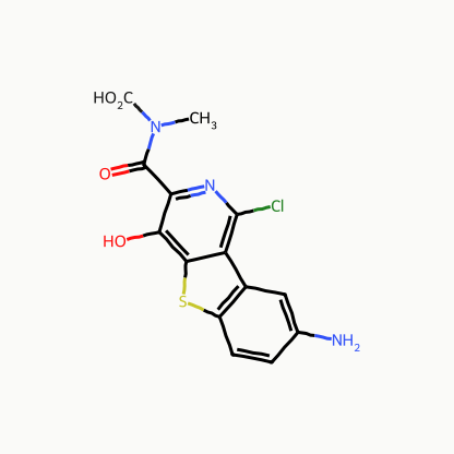 CN(C(=O)O)C(=O)c1nc(Cl)c2c(sc3ccc(N)cc32)c1O